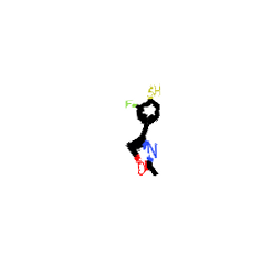 Cc1nc(-c2ccc(S)c(F)c2)co1